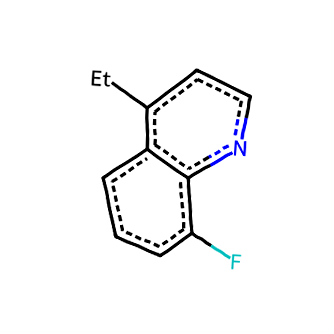 CCc1ccnc2c(F)cccc12